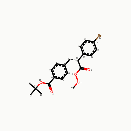 COOC(=O)[C@H](Cc1ccc(C(=O)OC(C)(C)C)cc1)c1ccc(Br)cc1